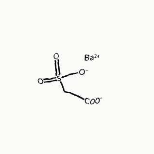 O=C([O-])CS(=O)(=O)[O-].[Ba+2]